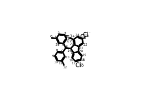 Cc1cccc(C(c2cccc(C)c2)C2c3ccccc3-c3ccc[c]([Ti+3])c32)c1.[Cl-].[Cl-].[Cl-]